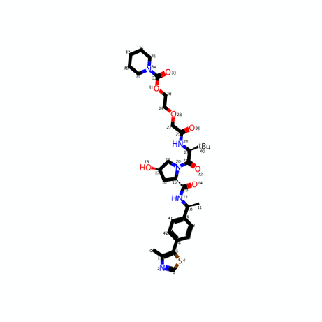 Cc1ncsc1-c1ccc([C@H](C)NC(=O)[C@@H]2C[C@@H](O)CN2C(=O)[C@@H](NC(=O)COCCOC(=O)N2CCCCC2)C(C)(C)C)cc1